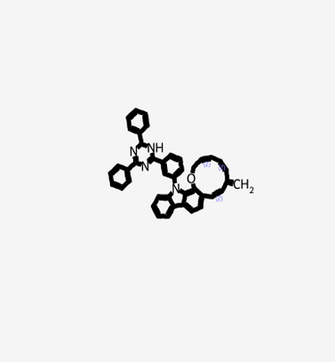 C=C1/C=C\C=C/COc2c(ccc3c4ccccc4n(-c4cccc(C5=NC(c6ccccc6)=NC(c6ccccc6)N5)c4)c23)/C=C\1